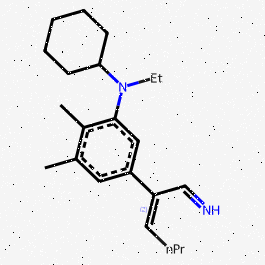 CCC/C=C(\C=N)c1cc(C)c(C)c(N(CC)C2CCCCC2)c1